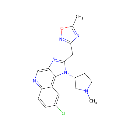 Cc1nc(Cc2nc3cnc4ccc(Cl)cc4c3n2[C@@H]2CCN(C)C2)no1